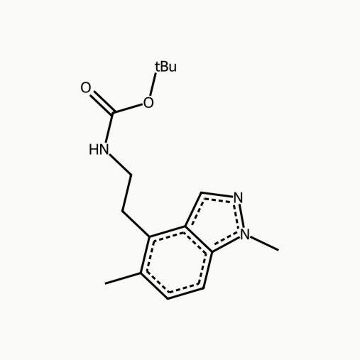 Cc1ccc2c(cnn2C)c1CCNC(=O)OC(C)(C)C